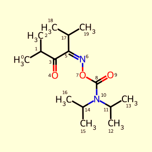 CC(C)C(=O)/C(=N\OC(=O)N(C(C)C)C(C)C)C(C)C